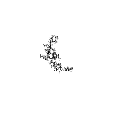 COC(=O)CC[C@@H](C)[C@H]1CCC2C3C(CC[C@@]21C)[C@@]1(C)CCC(NCCN2CCCCC2)C[C@@H]1C[C@H]3O